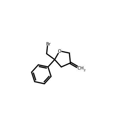 C=C1COC(CBr)(c2ccccc2)C1